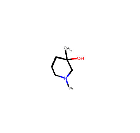 CC(C)N1CCCC(C)(O)C1